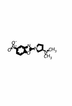 CN(C)[C@@H]1CCN(c2nc3cc([N+](=O)[O-])ccc3o2)C1